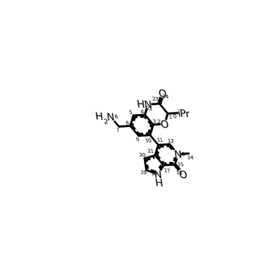 CC(C)C1Oc2c(cc(CN)cc2-c2cn(C)c(=O)c3[nH]ccc23)NC1=O